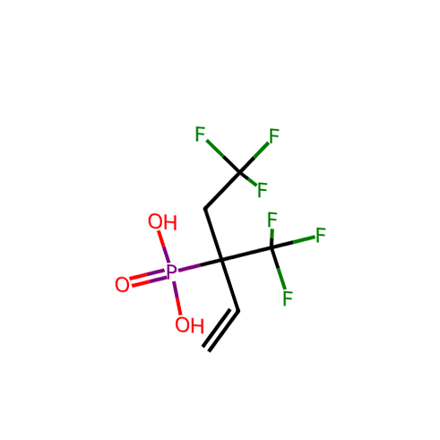 C=CC(CC(F)(F)F)(C(F)(F)F)P(=O)(O)O